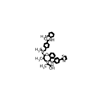 C[C@@H]1CN([C@H](C)CO)C(Nc2ccc(-c3nccs3)cc2)c2ccccc2O[C@@H]1CN(C)Cc1ccc(C(=O)Nc2ccccc2N)cc1